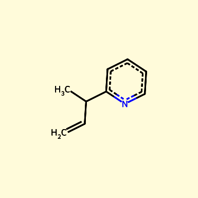 C=CC(C)c1ccccn1